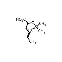 CC=CCC(O[Si](C)(C)C)C(=O)O